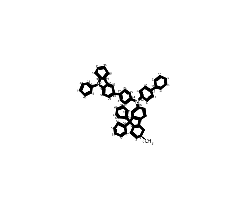 C[C@H]1C=CC2=C(C1)c1ccc(N(c3ccc(-c4ccccc4)cc3)c3ccc(-c4ccc5c(c4)c4ccccc4n5-c4ccccc4)cc3)cc1C2(c1ccccc1)c1ccccc1